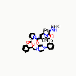 C/C(=C\C(C(C)C)N(C)C(=O)CNC=O)C(=O)N1CCC[C@H]1C(=O)OC(CN1CCN(c2ccccc2)CC1)c1ccccc1